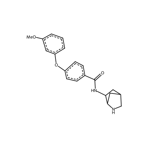 COc1cccc(Oc2ccc(C(=O)NC3CC4CNC3C4)cc2)c1